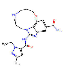 CCn1nc(C)cc1C(=O)Nc1nc2cc(C(N)=O)cc3c2n1CCCNCCCO3